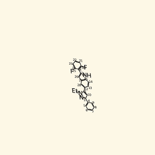 CCn1nc(-c2ccccc2)cc1-c1ccc2[nH]c(-c3c(F)cccc3F)cc2c1